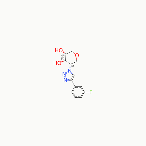 O[C@H]1[C@@H](O)COC[C@@H]1n1cc(-c2cccc(F)c2)nn1